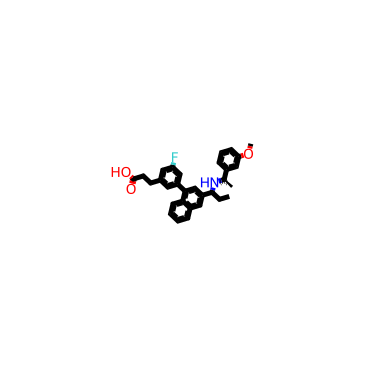 CCC(N[C@H](C)c1cccc(OC)c1)c1cc(-c2cc(F)cc(CCC(=O)O)c2)c2ccccc2c1